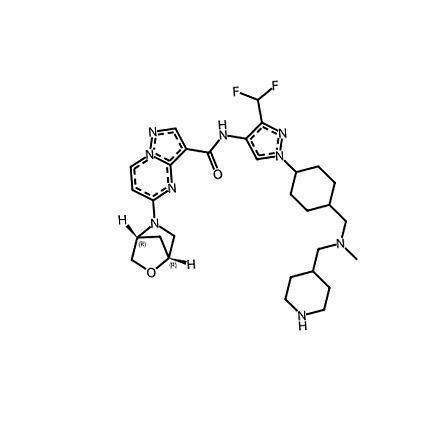 CN(CC1CCNCC1)CC1CCC(n2cc(NC(=O)c3cnn4ccc(N5C[C@H]6C[C@@H]5CO6)nc34)c(C(F)F)n2)CC1